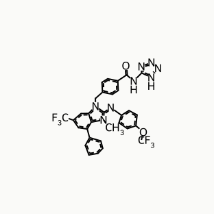 Cn1c(=Nc2ccc(OC(F)(F)F)cc2)n(Cc2ccc(C(=O)Nc3nnn[nH]3)cc2)c2cc(C(F)(F)F)cc(-c3ccccc3)c21